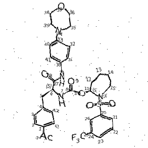 CC(=O)c1ccc(C[C@H](NC(=O)O[C@H]2CCCCN2S(=O)(=O)c2cccc(C(F)(F)F)c2)C(=O)Nc2ccc(N3CCOCC3)cc2)cc1